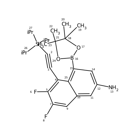 CC(C)[Si](C#Cc1c(F)c(F)cc2cc(N)cc(B3OC(C)(C)C(C)(C)O3)c12)(C(C)C)C(C)C